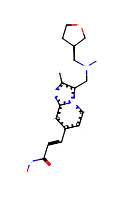 CCN(Cc1c(C(C)(C)C)nc2cc(C=CC(=O)NO)ccn12)CC1CCOC1